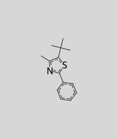 Cc1nc(-c2ccccc2)sc1C(C)(C)C